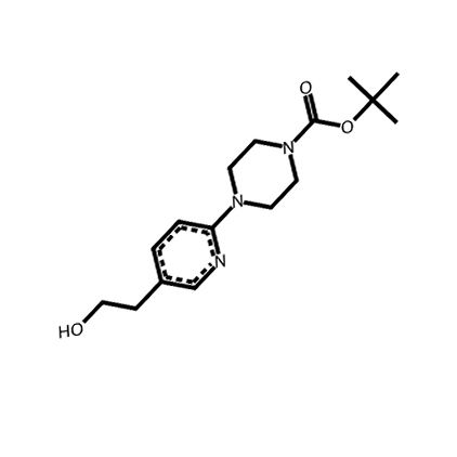 CC(C)(C)OC(=O)N1CCN(c2ccc(CCO)cn2)CC1